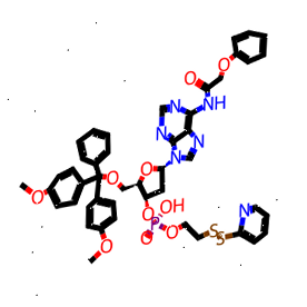 COc1ccc(C(OC[C@H]2O[C@@H](n3cnc4c(NC(=O)COc5ccccc5)ncnc43)C[C@H]2OP(=O)(O)OCCSSc2ccccn2)(c2ccccc2)c2ccc(OC)cc2)cc1